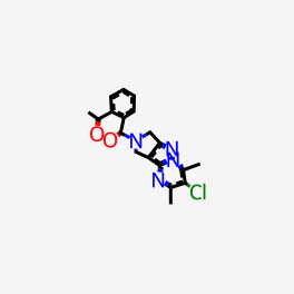 CC(=O)c1ccccc1C(=O)N1Cc2nn3c(C)c(Cl)c(C)nc3c2C1